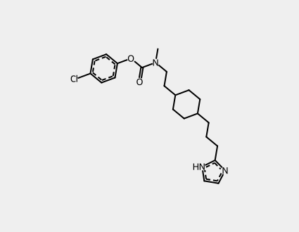 CN(CCC1CCC(CCCc2ncc[nH]2)CC1)C(=O)Oc1ccc(Cl)cc1